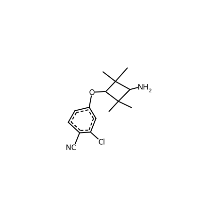 CC1(C)C(N)C(C)(C)C1Oc1ccc(C#N)c(Cl)c1